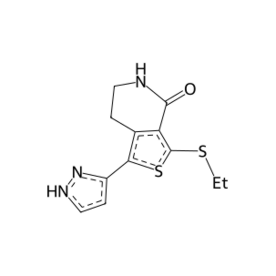 CCSc1sc(-c2cc[nH]n2)c2c1C(=O)NCC2